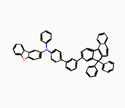 c1ccc(N(c2ccc(-c3cccc(-c4ccc5c(c4)C(c4ccccc4)(c4ccccc4)c4ccc6ccccc6c4-5)c3)cc2)c2ccc3oc4ccccc4c3c2)cc1